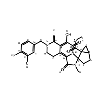 COC(=O)C12CC1CCC21N(C)C(=O)c2c3c(c(O)c(=O)n21)C(=O)N(Cc1ccc(F)c(Cl)c1)CC3